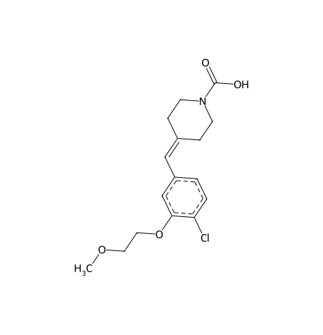 COCCOc1cc(C=C2CCN(C(=O)O)CC2)ccc1Cl